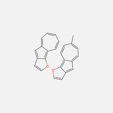 Cc1ccc2cc3ccoc3c-2cc1.c1ccc2cc3ccoc3c-2cc1